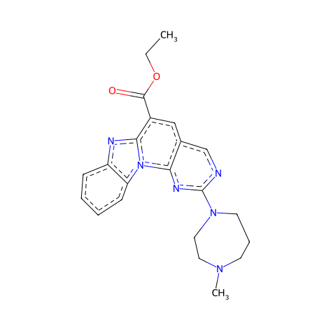 CCOC(=O)c1cc2cnc(N3CCCN(C)CC3)nc2n2c1nc1ccccc12